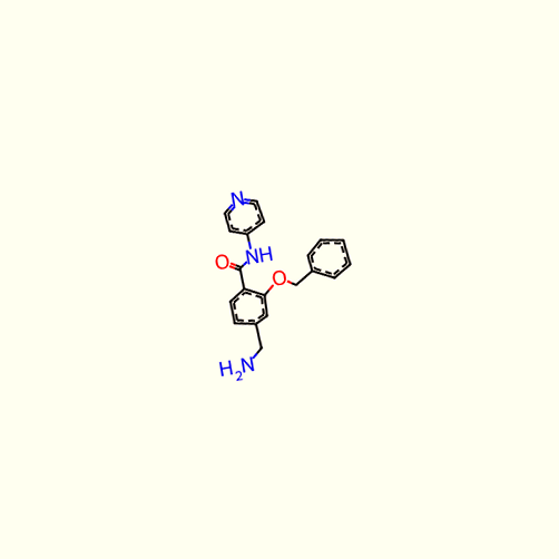 NCc1ccc(C(=O)Nc2ccncc2)c(OCc2ccccc2)c1